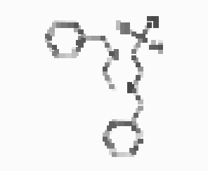 [2H]C([2H])(Cl)C1CN(Cc2ccccc2)CCN1Cc1ccccc1